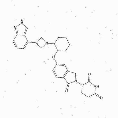 O=C1CCC(N2Cc3cc(OC4CCCCC4N4CC(c5cccc6n[nH]cc56)C4)ccc3C2=O)C(=O)N1